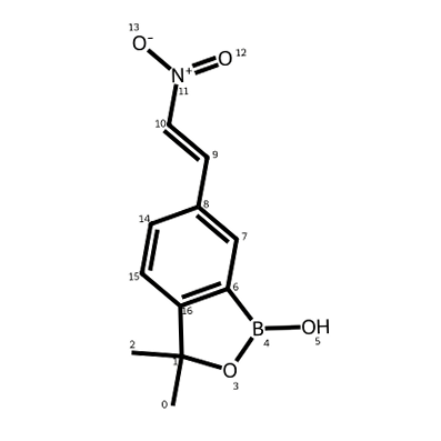 CC1(C)OB(O)c2cc(/C=C/[N+](=O)[O-])ccc21